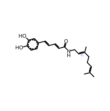 CC(C)=CCC/C(C)=C/CNC(=O)C=CC=Cc1ccc(O)c(O)c1